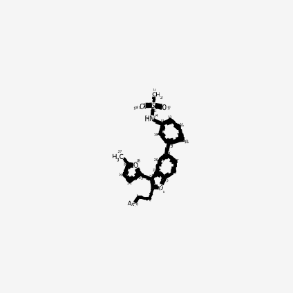 CC(=O)CCc1oc2ccc(-c3cccc(NS(C)(=O)=O)c3)cc2c1-c1ccc(C)o1